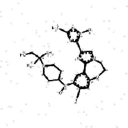 Cc1nc(-c2cn3c(n2)-c2cc([S+]([O-])C4CCN(C(C)(C)CO)CC4)c(F)cc2OCC3)n(C(C)C)n1